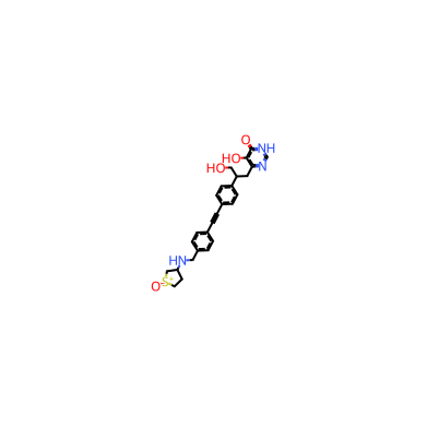 O=c1[nH]cnc(CC(CO)c2ccc(C#Cc3ccc(CNC4CC[S+]([O-])C4)cc3)cc2)c1O